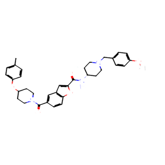 Cc1ccc(OC2CCN(C(=O)c3ccc4oc(C(=O)N[C@@H]5CCN(Cc6ccc(OC(F)(F)F)cc6)C[C@H]5F)cc4c3)CC2)cc1